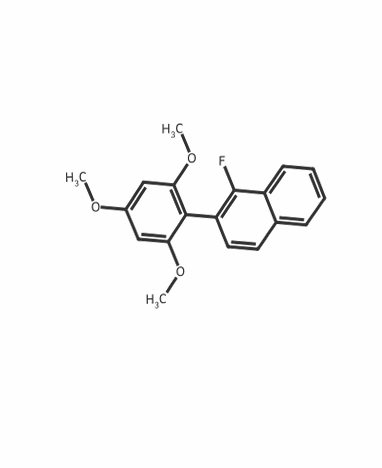 COc1cc(OC)c(-c2ccc3ccccc3c2F)c(OC)c1